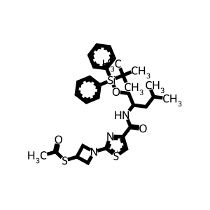 CC(=O)SC1CN(c2nc(C(=O)NC(CO[Si](c3ccccc3)(c3ccccc3)C(C)(C)C)CC(C)C)cs2)C1